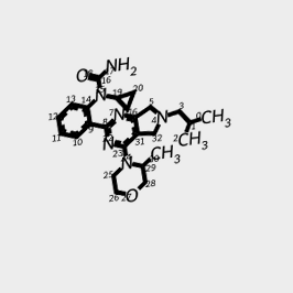 CC(C)CN1Cc2nc(-c3ccccc3N(C(N)=O)C3CC3)nc(N3CCOCC3C)c2C1